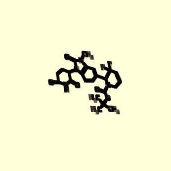 Cn1c(=O)n(C2CCC(=O)NC2=O)c2ccc(C3N(C(=O)OC(C)(C)C)CC=CC3(F)F)cc21